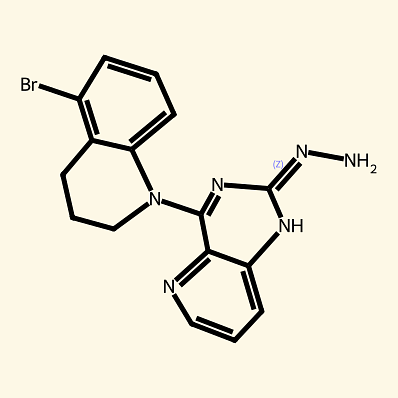 N/N=c1/nc(N2CCCc3c(Br)cccc32)c2ncccc2[nH]1